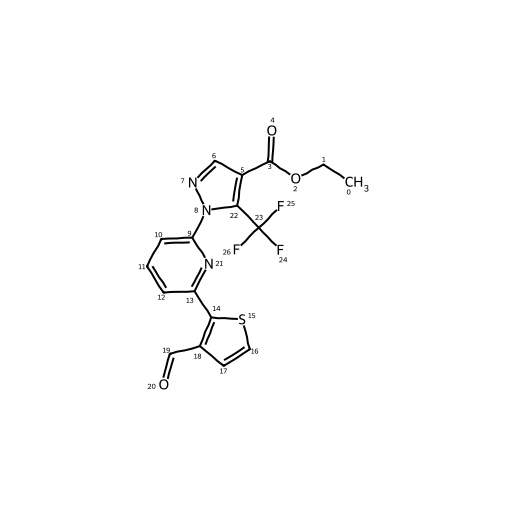 CCOC(=O)c1cnn(-c2cccc(-c3sccc3C=O)n2)c1C(F)(F)F